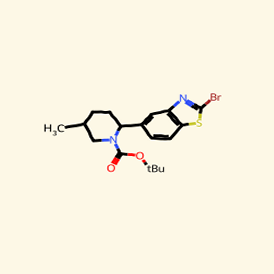 CC1CCC(c2ccc3sc(Br)nc3c2)N(C(=O)OC(C)(C)C)C1